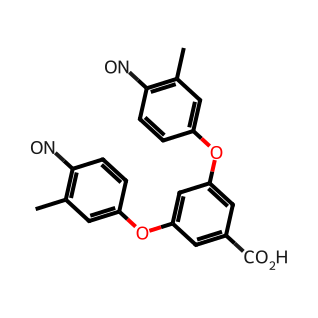 Cc1cc(Oc2cc(Oc3ccc(N=O)c(C)c3)cc(C(=O)O)c2)ccc1N=O